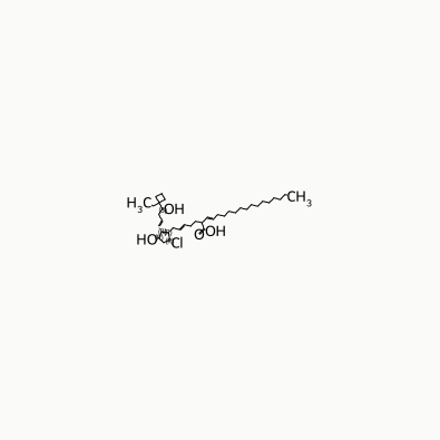 CCCCCCCCCCCCCCC=CC(CCC=CC[C@@H]1[C@@H](C=CC[C@H](O)C2(CC)CCC2)[C@H](O)C[C@H]1Cl)C(=O)O